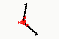 CC(C)CCCCCCCCCCOCCOP(=O)(O)OCCOCCCCCCCCCCC(C)C